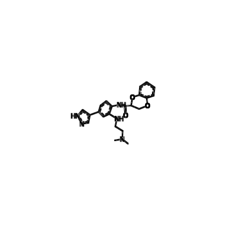 CN(C)CCNc1cc(-c2cn[nH]c2)ccc1NC(=O)C1COc2ccccc2O1